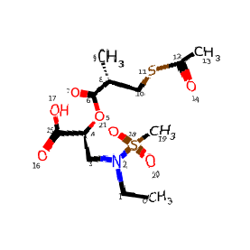 CCN(C[C@H](OC(=O)[C@H](C)CSC(C)=O)C(=O)O)S(C)(=O)=O